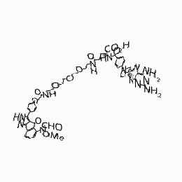 CON(C=O)c1cccc2c1C(=O)c1c-2n[nH]c1-c1ccc(OCC(=O)NCCOCCOCCOCCNC(=O)CC[C@H](NC(=O)c2ccc(N(C)Cc3cnc4nc(N)nc(N)c4n3)cc2)C(=O)O)cc1